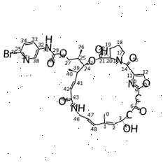 CC1=C\[C@@H](O)CC(=O)Cc2nc(co2)C(=O)N2CCC[C@@H]2C(=O)O[C@H]([C@H](C)COC(=O)Nc2ccc(Br)nc2)[C@H](C)/C=C/C(=O)NC\C=C\1